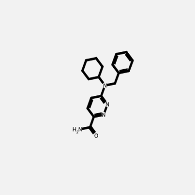 NC(=O)c1ccc(N(Cc2ccccc2)C2CCCCC2)nn1